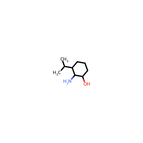 CC(C)C1CCCC(O)C1N